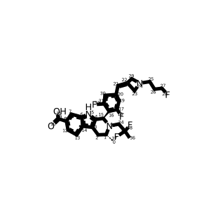 C[C@@H]1Cc2c([nH]c3cc(C(=O)O)ccc23)[C@@H](c2c(F)cc(C=C3CN(CCCF)C3)cc2F)N1CC(C)(F)F